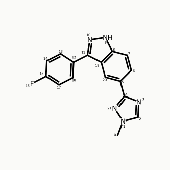 Cn1cnc(-c2ccc3[nH]nc(-c4ccc(F)cc4)c3c2)n1